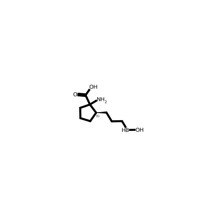 NC1(C(=O)O)CCC[C@@H]1CCCBO